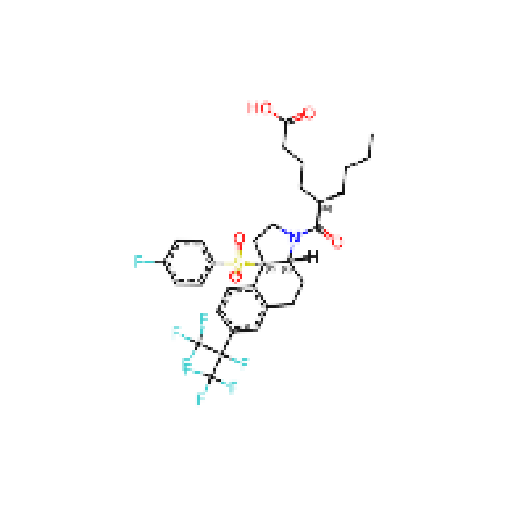 CCCC[C@H](CCCC(=O)O)C(=O)N1CC[C@@]2(S(=O)(=O)c3ccc(F)cc3)c3ccc(C(F)(C(F)(F)F)C(F)(F)F)cc3CC[C@@H]12